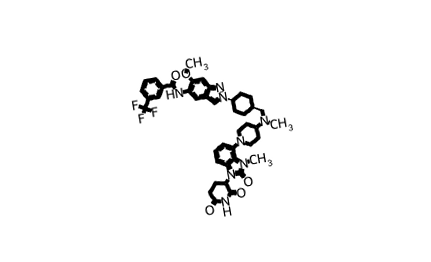 COc1cc2nn([C@H]3CC[C@H](CN(C)C4CCN(c5cccc6c5n(C)c(=O)n6C5CCC(=O)NC5=O)CC4)CC3)cc2cc1NC(=O)c1cccc(C(F)(F)F)c1